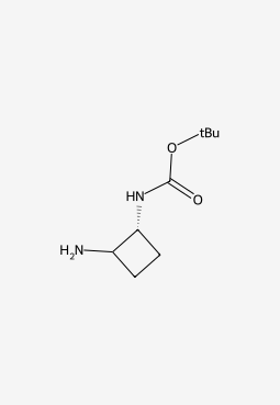 CC(C)(C)OC(=O)N[C@@H]1CCC1N